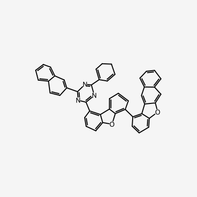 C1=CC(c2nc(-c3ccc4ccccc4c3)nc(-c3cccc4oc5c(-c6cccc7oc8cc9ccccc9cc8c67)cccc5c34)n2)=CCC1